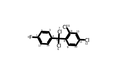 Fc1ccc(C(Cl)(Cl)c2ccc(Cl)cc2Cl)cc1